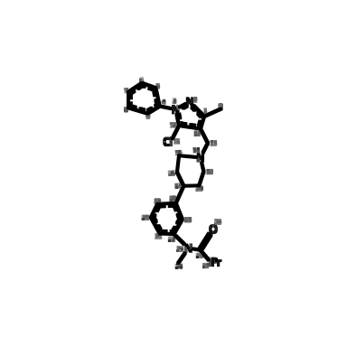 Cc1nn(-c2ccccc2)c(Cl)c1CN1CCC(c2cccc(N(C)C(=O)C(C)C)c2)CC1